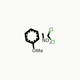 COc1ccccc1.C[N+](=O)[O-].ClCCl